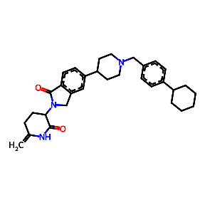 C=C1CCC(N2Cc3cc(C4CCN(Cc5ccc(C6CCCCC6)cc5)CC4)ccc3C2=O)C(=O)N1